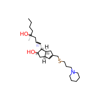 CCCC[C@](C)(O)C/C=C/[C@@H]1[C@H]2CC(CSCCCN3CCCCC3)=C[C@H]2C[C@H]1O